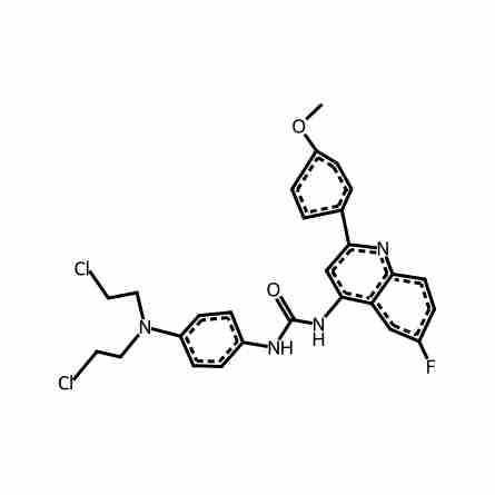 COc1ccc(-c2cc(NC(=O)Nc3ccc(N(CCCl)CCCl)cc3)c3cc(F)ccc3n2)cc1